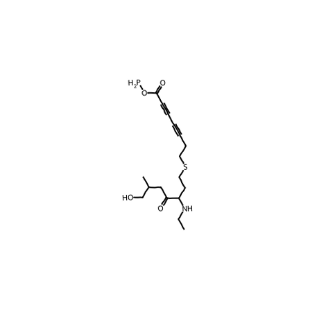 CCNC(CCSCCC#CC#CC(=O)OP)C(=O)CC(C)CO